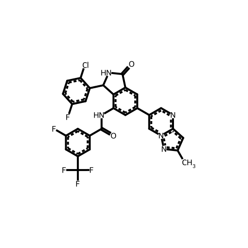 Cc1cc2ncc(-c3cc(NC(=O)c4cc(F)cc(C(F)(F)F)c4)c4c(c3)C(=O)NC4c3cc(F)ccc3Cl)cn2n1